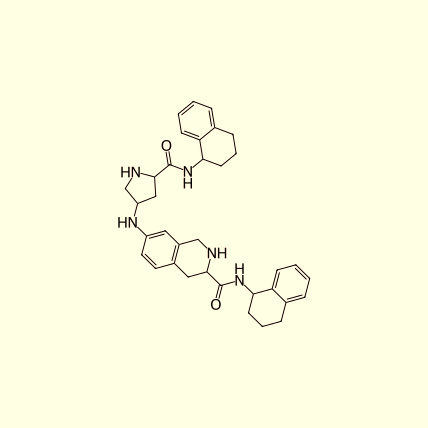 O=C(NC1CCCc2ccccc21)C1Cc2ccc(NC3CNC(C(=O)NC4CCCc5ccccc54)C3)cc2CN1